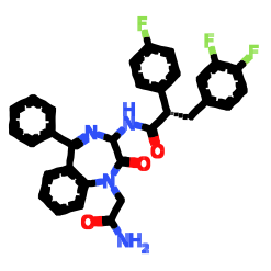 NC(=O)CN1C(=O)C(NC(=O)[C@@H](Cc2ccc(F)c(F)c2)c2ccc(F)cc2)N=C(c2ccccc2)c2ccccc21